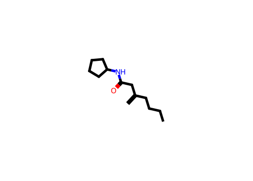 C=C(CCCC)CC(=O)NC1CCCC1